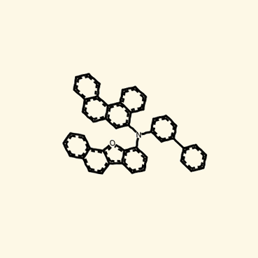 c1ccc(-c2cccc(N(c3cc4ccc5ccccc5c4c4ccccc34)c3cccc4c3oc3c5ccccc5ccc43)c2)cc1